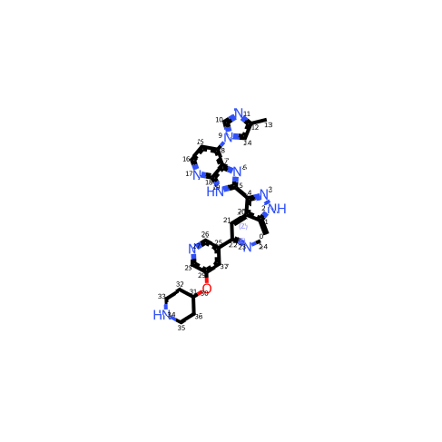 C=c1[nH]nc(-c2nc3c(-n4cnc(C)c4)ccnc3[nH]2)/c1=C/C(=N\C)c1cncc(OC2CCNCC2)c1